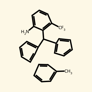 Cc1ccccc1.Nc1cccc(C(F)(F)F)c1C(c1ccccc1)c1ccccc1